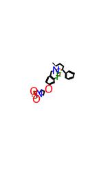 C[C@H]1CCC(c2ccccc2)SN1Cc1ccc(OC2CN(S(C)(=O)=O)C2)cc1F